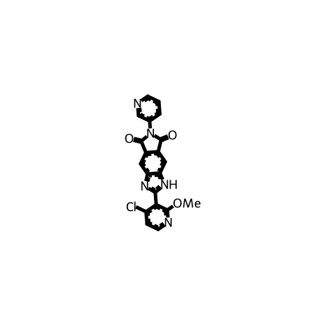 COc1nccc(Cl)c1-c1nc2cc3c(cc2[nH]1)C(=O)N(c1cccnc1)C3=O